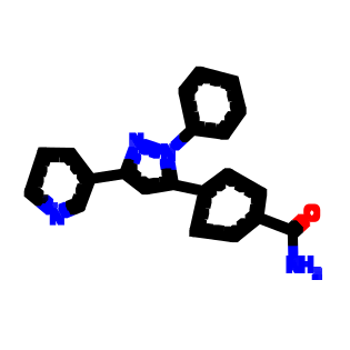 NC(=O)c1ccc(-c2cc(-c3cccnc3)nn2-c2ccccc2)cc1